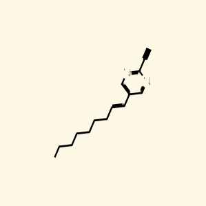 C#Cc1ncc(/C=C/CCCCCCC)cn1